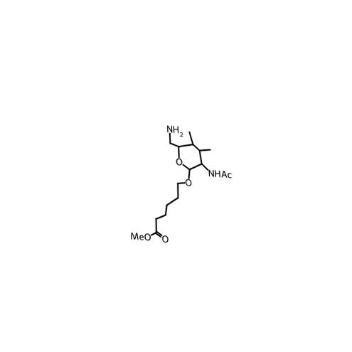 COC(=O)CCCCCOC1OC(CN)C(C)C(C)C1NC(C)=O